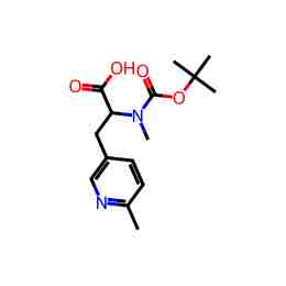 Cc1ccc(CC(C(=O)O)N(C)C(=O)OC(C)(C)C)cn1